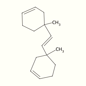 CC1(C=CC2(C)CC=CCC2)CC=CCC1